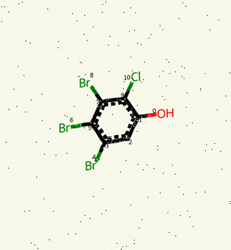 Oc1cc(Br)c(Br)c(Br)c1Cl